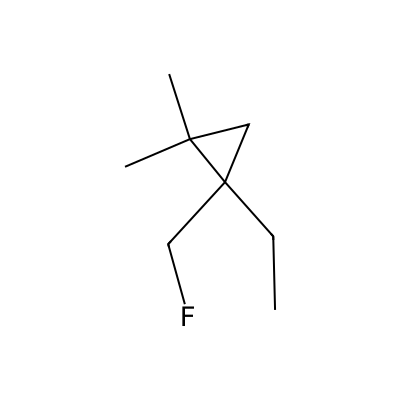 CCC1(CF)CC1(C)C